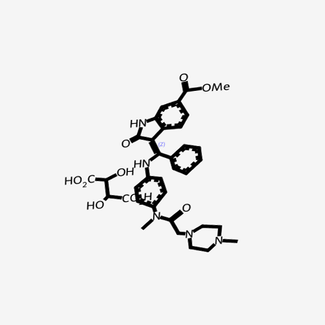 COC(=O)c1ccc2c(c1)NC(=O)/C2=C(\Nc1ccc(N(C)C(=O)CN2CCN(C)CC2)cc1)c1ccccc1.O=C(O)C(O)C(O)C(=O)O